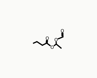 CCCC(=O)OC(C)OC=O